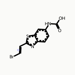 O=C(O)Nc1ccc2nc(/C=C/Br)sc2c1